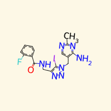 Cc1ncc(Cn2nnc(CNC(=O)c3ccccc3F)c2I)c(N)n1